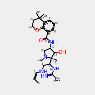 C/C=C\NCC(NC(=N)CC)[C@@]1(C)[C@H](O)[C@H](NC(=O)c2cccc3c2OCCC3(C)C)CN1C